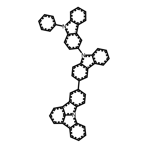 c1ccc(-n2c3ccccc3c3cc(-n4c5ccccc5c5cc(-c6ccc7c(c6)c6cccc8c9ccccc9n7c86)ccc54)ccc32)cc1